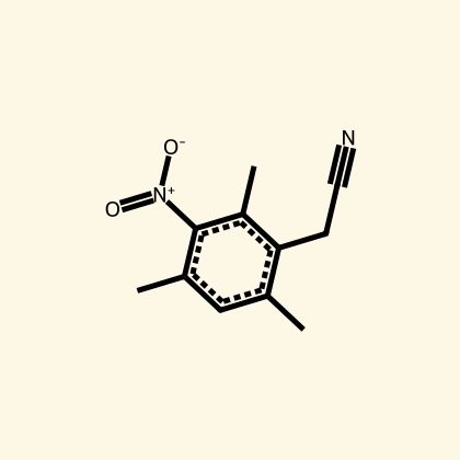 Cc1cc(C)c([N+](=O)[O-])c(C)c1CC#N